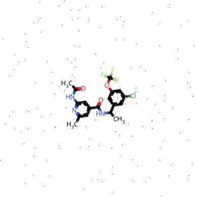 CC(=O)Nc1cc(C(=O)NC(C)c2cc(Cl)cc(OC(F)(F)F)c2)cc(C)n1